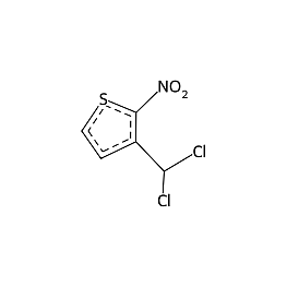 O=[N+]([O-])c1sccc1C(Cl)Cl